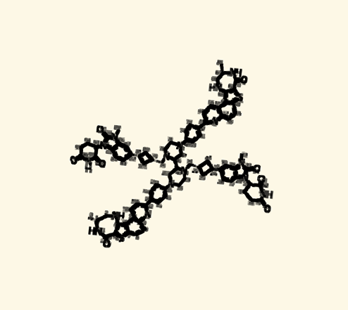 C[C@@H]1CNc2c(sc3ccc4nc(-c5ccc(N6CCN(C[C@H]7C[C@H](c8ccc9c(c8)n(C)c(=O)n9C8CCC(=O)NC8=O)C7)C(C7CN(c8ccc(-c9ccc%10c(ccc%11sc%12c(c%11%10)NC[C@@H](C)NC%12=O)n9)cc8)CCN7C[C@H]7C[C@@H](c8ccc9c(c8)n(C)c(=O)n9C8CCC(=O)NC8=O)C7)C6)cc5)ccc4c23)C(=O)N1